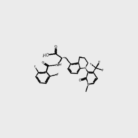 Cn1ccc(C(F)(F)F)c(N2CCCc3c(C[C@H](NC(=O)c4c(F)cccc4F)C(=O)O)cccc32)c1=O